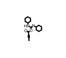 CC#CC(=O)O/C(=N\C1CCCCC1)NC1CCCCC1